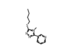 CCCCSc1nnc(-c2cccnc2)n1C